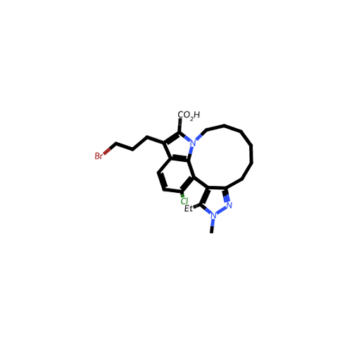 CCc1c2c(nn1C)CCCCCCn1c(C(=O)O)c(CCCBr)c3ccc(Cl)c-2c31